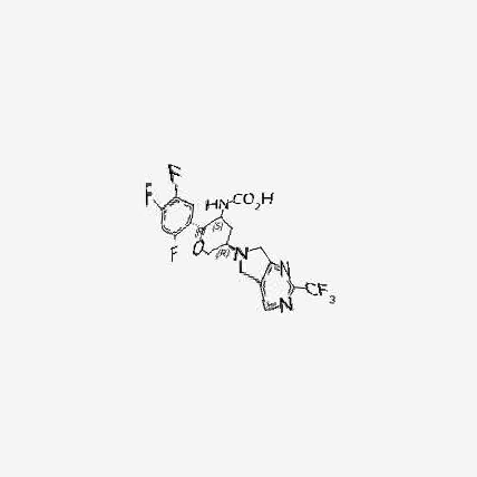 O=C(O)N[C@H]1C[C@@H](N2Cc3cnc(C(F)(F)F)nc3C2)CO[C@@H]1c1cc(F)c(F)cc1F